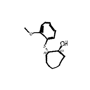 COc1ccccc1S[C@H]1CCCC[C@@H]1O